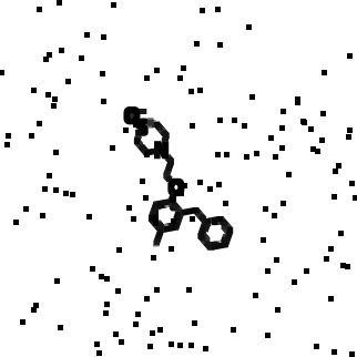 Cc1ccc(OCCN2CC[S+]([O-])CC2)c(Cc2ccccc2)c1